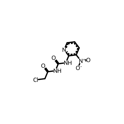 O=C(CCl)NC(=O)Nc1ncccc1[N+](=O)[O-]